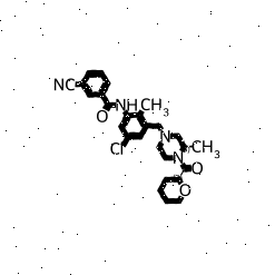 Cc1c(CN2CCN(C(=O)[C@H]3CCCCO3)[C@@H](C)C2)cc(Cl)cc1NC(=O)c1cccc(C#N)c1